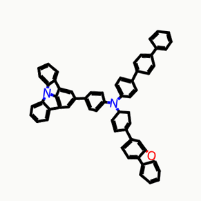 C1=CC(N(c2ccc(-c3ccc(-c4ccccc4)cc3)cc2)c2ccc(-c3cc4c5ccccc5n5c6ccccc6c(c3)c45)cc2)CC=C1c1ccc2c(c1)oc1ccccc12